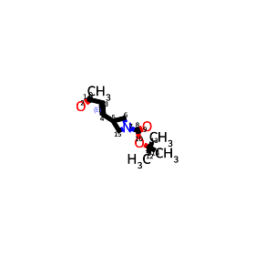 CC(=O)/C=C/C1CN(C(=O)OC(C)(C)C)C1